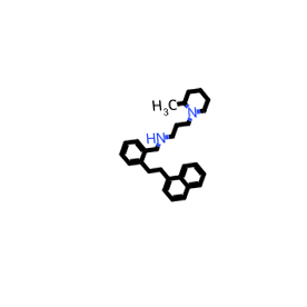 CC1CCCCN1CCCNCc1ccccc1CCc1cccc2ccccc12